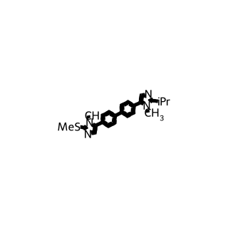 CSc1ncc(-c2ccc(-c3ccc(-c4cnc(C(C)C)n4C)cc3)cc2)n1C